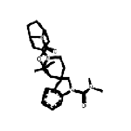 CN(C)C(=O)N1CC2(CCN(C3CC4CCC(C3)N4C(=O)OC(C)(C)C)CC2)c2ccccc21